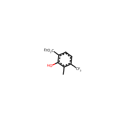 CCOC(=O)c1ccc(C(F)(F)F)c(C)c1O